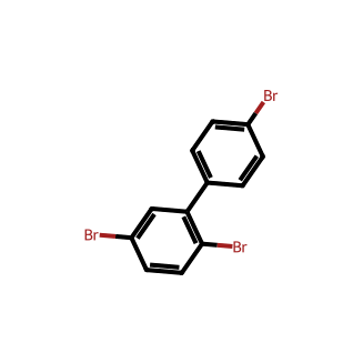 Brc1ccc(-c2cc(Br)ccc2Br)cc1